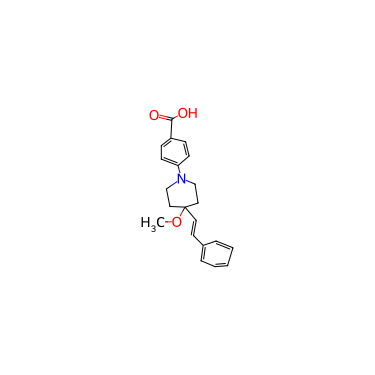 COC1(C=Cc2ccccc2)CCN(c2ccc(C(=O)O)cc2)CC1